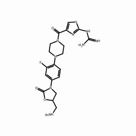 CC(=O)NCC1CN(c2ccc(N3CCN(C(=O)c4csc(NC(=N)N)n4)CC3)c(F)c2)C(=O)O1